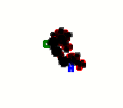 COC(=O)CC[C@H](NC(=O)c1cccc(COc2ccc(Cc3cc([C@@H]4O[C@H](COC(C)=O)[C@@H](OC(C)=O)[C@H](OC(C)=O)[C@H]4OC(C)=O)ccc3Cl)cc2)c1)C(=O)OC